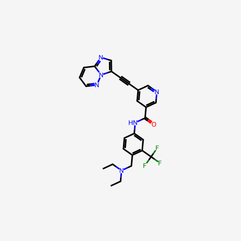 CCN(CC)Cc1ccc(NC(=O)c2cncc(C#Cc3cnc4cccnn34)c2)cc1C(F)(F)F